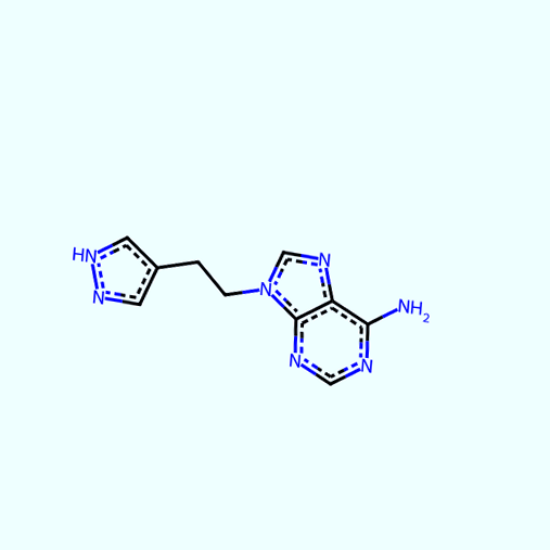 Nc1ncnc2c1ncn2CCc1cn[nH]c1